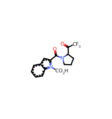 O=C(c1cc2ccccc2n1C(=O)O)N1CCCC1C(=O)C(F)(F)F